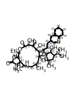 CC[C@H]1OC(=O)[C@H](C)C(=O)[C@H](C)[C@@H](O[C@@H]2O[C@H](C)CC(N(C)C)C2O)[C@](C)(OC/C=C/c2cnc3ccccc3c2)C[C@@H](C)CN[C@H](C)[C@H]2NC(=O)O[C@@H]21